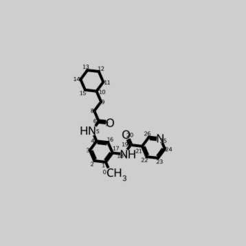 Cc1ccc(NC(=O)CCC2CCCCC2)cc1NC(=O)c1cccnc1